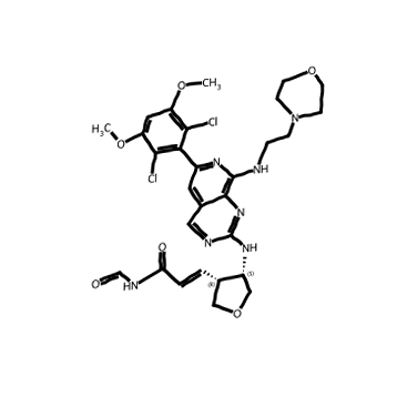 COc1cc(OC)c(Cl)c(-c2cc3cnc(N[C@@H]4COC[C@@H]4C=CC(=O)NC=O)nc3c(NCCN3CCOCC3)n2)c1Cl